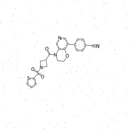 N#Cc1ccc(-c2cncc3c2OCCN3C(=O)C2CN(S(=O)(=O)c3cccs3)C2)cc1